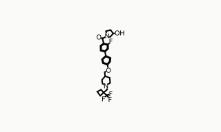 O=C(c1ccc(-c2ccc(OCC3CCN(CC4(C(F)(F)F)CCC4)CC3)cc2)cc1F)N1CCC(O)C1